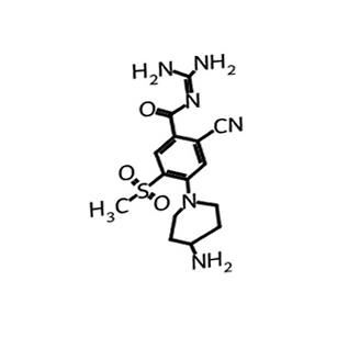 CS(=O)(=O)c1cc(C(=O)N=C(N)N)c(C#N)cc1N1CCC(N)CC1